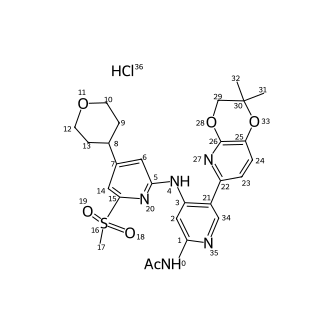 CC(=O)Nc1cc(Nc2cc(C3CCOCC3)cc(S(C)(=O)=O)n2)c(-c2ccc3c(n2)OCC(C)(C)O3)cn1.Cl